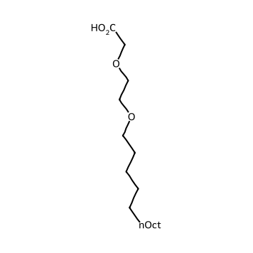 CCCCCCCCCCCCCOCCOCC(=O)O